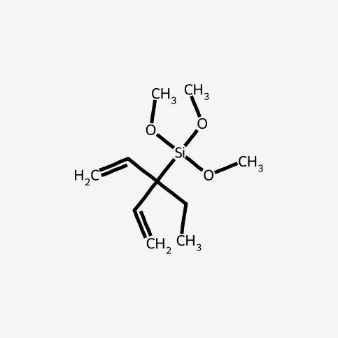 C=CC(C=C)(CC)[Si](OC)(OC)OC